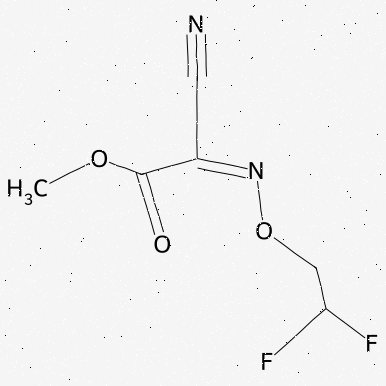 COC(=O)/C(C#N)=N\OCC(F)F